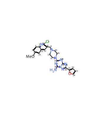 COc1ccc2nc(Cl)c(CN3CCN(c4nc(N)n5nc(-c6ccco6)nc5n4)CC3)cc2c1